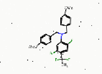 COc1ccc(CN(Cc2ccc(OC)cc2)c2cc(Br)c(C(C)(F)F)cc2F)cc1